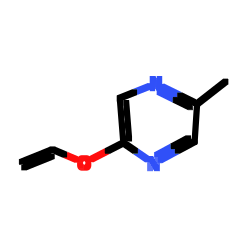 C=COc1cnc(C)cn1